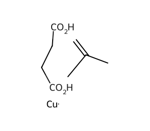 C=C(C)C.O=C(O)CCC(=O)O.[Cu]